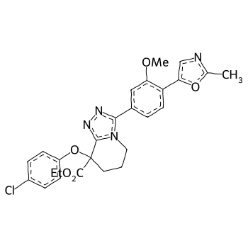 CCOC(=O)C1(Oc2ccc(Cl)cc2)CCCn2c(-c3ccc(-c4cnc(C)o4)c(OC)c3)nnc21